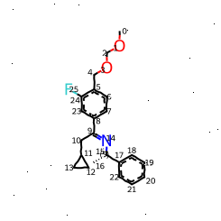 COCOCc1ccc(C(CC2CC2)=N[C@@H](C)c2ccccc2)cc1F